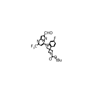 CC(C)(C)OC(=O)N1CC(CNc2cc(C(F)(F)F)nc3cc(C=O)nn23)(c2ccc(F)cc2)C1